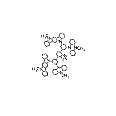 CN1c2ccccc2N(c2cc(-c3ccc(-c4cc(N5c6ccccc6N(C)c6ccccc65)cc(-n5c6ccccc6c6cc7c(cc65)c5ccccc5n7C)c4)c4nsnc34)cc(-n3c4ccccc4c4cc5c(cc43)c3ccccc3n5C)c2)c2ccccc21